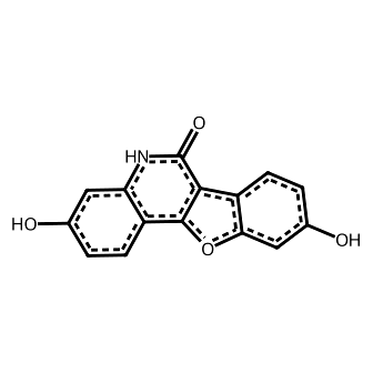 O=c1[nH]c2cc(O)ccc2c2oc3cc(O)ccc3c12